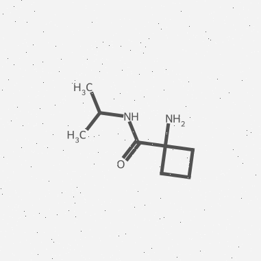 CC(C)NC(=O)C1(N)CCC1